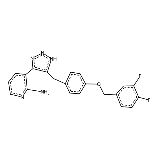 Nc1ncccc1-c1nn[nH]c1Cc1ccc(OCc2ccc(F)c(F)c2)cc1